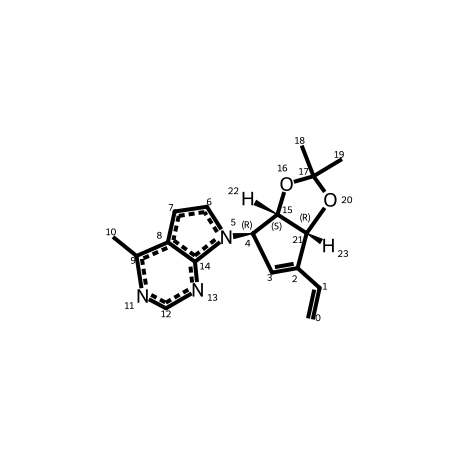 C=CC1=C[C@@H](n2ccc3c(C)ncnc32)[C@@H]2OC(C)(C)O[C@H]12